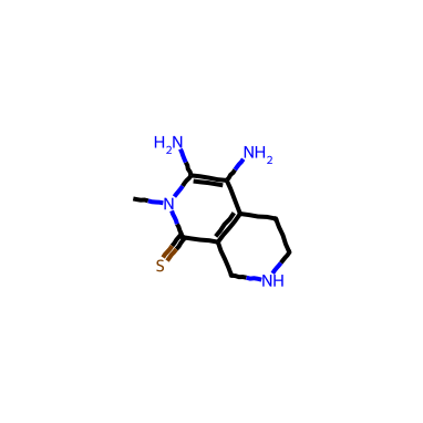 Cn1c(N)c(N)c2c(c1=S)CNCC2